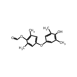 Cc1cc(Oc2cc(C)c(OC=O)c(C)c2)cc(C)c1O